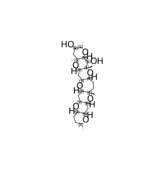 C[C@@H]1CC[C@H]2O[C@@]3(C)C[C@H]4O[C@@]5(C)C[C@H]6O[C@@]7(C)C[C@@H](O)[C@H](C)O[C@@H]7[C@H](O)[C@]6(C)O[C@@H]5CC[C@]4(C)O[C@@H]3C[C@@H]2O1